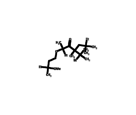 CCC(C)(C)CC(C)(C(=O)C(C)(CC)OCCC(C)(CC)OC)C(C)(C)CC